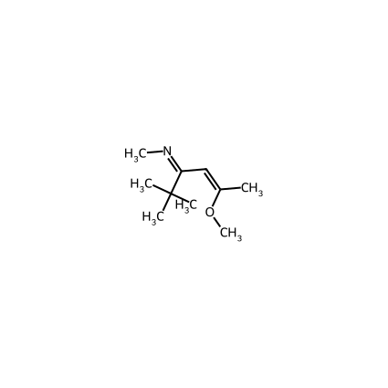 C/N=C(/C=C(/C)OC)C(C)(C)C